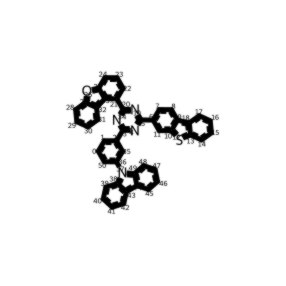 c1cc(-c2nc(-c3ccc4c(c3)sc3ccccc34)nc(-c3cccc4oc5ccccc5c34)n2)cc(-n2c3ccccc3c3ccccc32)c1